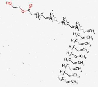 C=CC.C=CC.C=CC.C=CC.C=CC.C=CC.C=CC.C=CC.C=CC.C=CC.C=CC.C=CC.C=CC(=O)OCCO